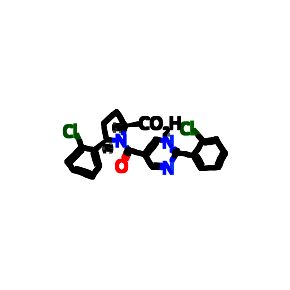 O=C(O)[C@@H]1CC[C@H](c2ccccc2Cl)N1C(=O)c1cnc(-c2ccccc2Cl)nc1